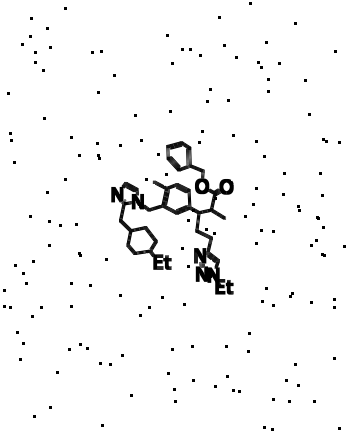 CCC1CCC(Cc2nccn2Cc2cc(C(CCc3cn(CC)nn3)C(C)C(=O)OCc3ccccc3)ccc2C)CC1